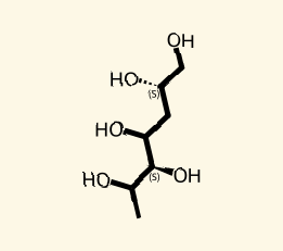 CC(O)[C@H](O)C(O)C[C@H](O)CO